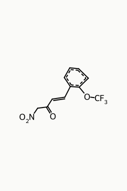 O=C(C=Cc1ccccc1OC(F)(F)F)C[N+](=O)[O-]